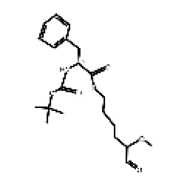 COC(C=O)CCCCNC(=O)[C@H](Cc1ccccc1)NC(=O)OC(C)(C)C